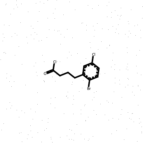 O=C(Cl)CCCc1cc(Cl)ccc1Br